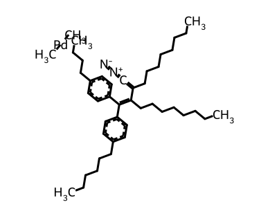 CCCCCCCCC(=C=[N+]=[N-])C(CCCCCCCC)=C(c1ccc(CCCC)cc1)c1ccc(CCCCCC)cc1.[CH3][Pd][CH3]